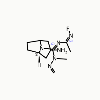 C=NN(C)/C(=N\C(C)=N/F)N1C2CC[C@H]1CC(N)C2